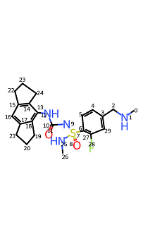 CNCc1ccc(S(=O)(=NC(=O)Nc2c3c(cc4c2CCC4)CCC3)NC)c(F)c1